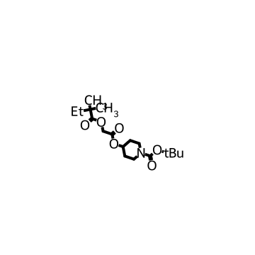 CCC(C)(C)C(=O)OCC(=O)OC1CCN(C(=O)OC(C)(C)C)CC1